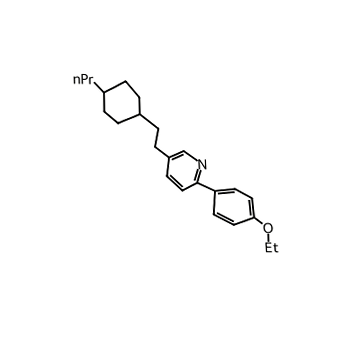 CCCC1CCC(CCc2ccc(-c3ccc(OCC)cc3)nc2)CC1